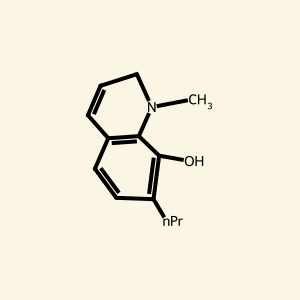 CCCc1ccc2c(c1O)N(C)CC=C2